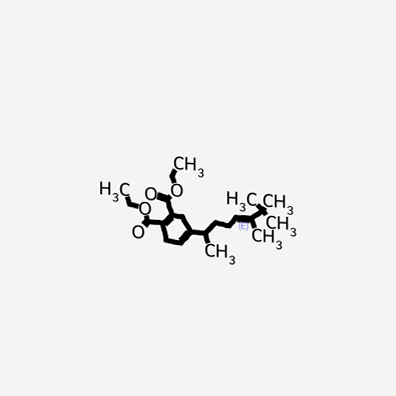 CCOC(=O)C1=C(C(=O)OCC)CC(C(C)CC/C=C(\C)C(C)(C)C)=CC1